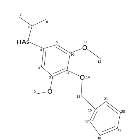 COc1cc([AsH]C(C)C)cc(OC)c1OCc1ccccc1